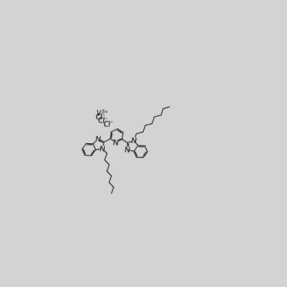 CCCCCCCCn1c(-c2cccc(-c3nc4ccccc4n3CCCCCCCC)n2)nc2ccccc21.[Cl-].[Cl-].[Cl-].[V+3]